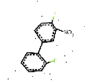 O=[N+]([O-])c1cc(-c2ccccc2F)ccc1F